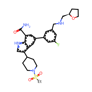 CCS(=O)(=O)N1CCC(c2c[nH]c3c(C(N)=O)cc(-c4cc(F)cc(CNC[C@H]5CCCO5)c4)cc23)CC1